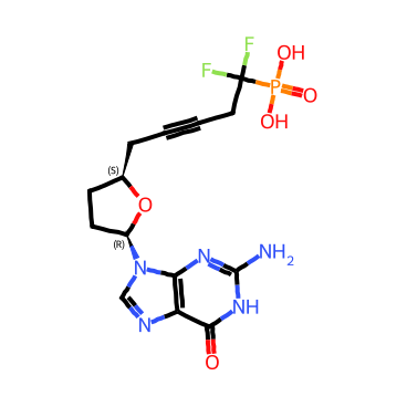 Nc1nc2c(ncn2[C@H]2CC[C@@H](CC#CCC(F)(F)P(=O)(O)O)O2)c(=O)[nH]1